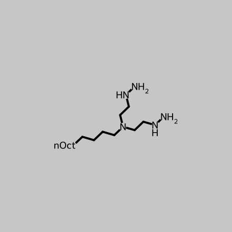 CCCCCCCCCCCCN(CCNN)CCNN